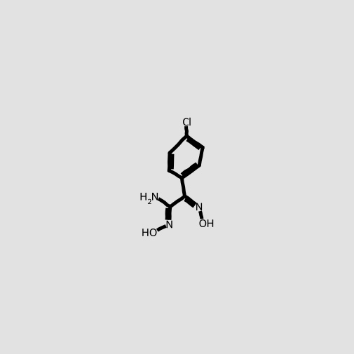 NC(=N\O)/C(=N\O)c1ccc(Cl)cc1